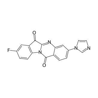 O=C1c2cc(F)ccc2-n2c1nc1cc(-n3ccnc3)ccc1c2=O